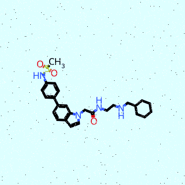 CS(=O)(=O)Nc1ccc(-c2ccc3ccn(CC(=O)NCCNCC4CCCCC4)c3c2)cc1